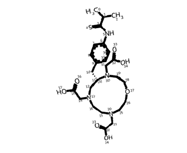 CC(C)C(=S)Nc1ccc(C[C@H]2CN(CC(=O)O)CCN(CC(=O)O)CCOCCN2CC(=O)O)cc1